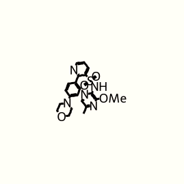 COc1nc(C)cnc1NS(=O)(=O)c1cccnc1-c1ccc(N2CCOCC2)cc1